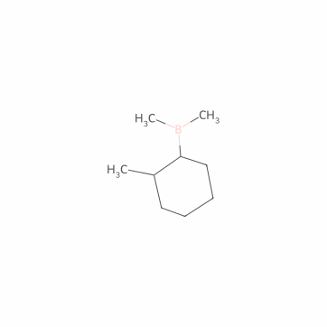 CB(C)C1CCCCC1C